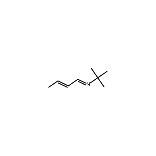 CC=CC=NC(C)(C)C